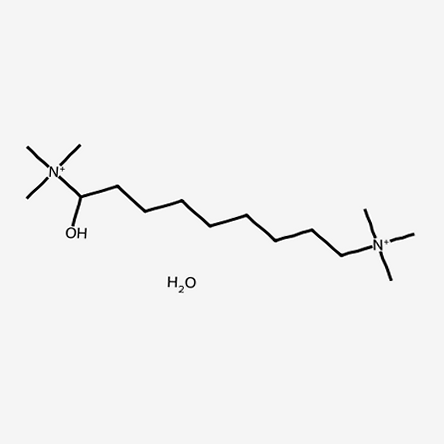 C[N+](C)(C)CCCCCCCCC(O)[N+](C)(C)C.O